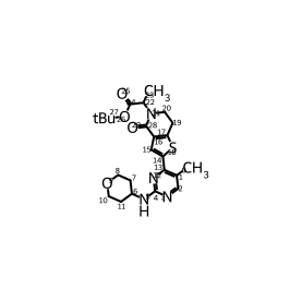 Cc1cnc(NC2CCOCC2)nc1-c1cc2c(s1)CCN(C(C)C(=O)OC(C)(C)C)C2=O